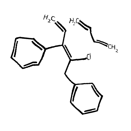 C=CC(=C(Cl)Cc1ccccc1)c1ccccc1.C=CC=C